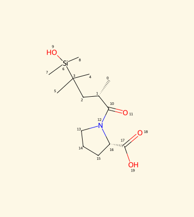 C[C@@H](CC(C)(C)[Si](C)(C)O)C(=O)N1CCC[C@H]1C(=O)O